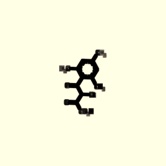 CCC(C(=O)C(=O)O)C(=O)c1c(C)cc(C)cc1C